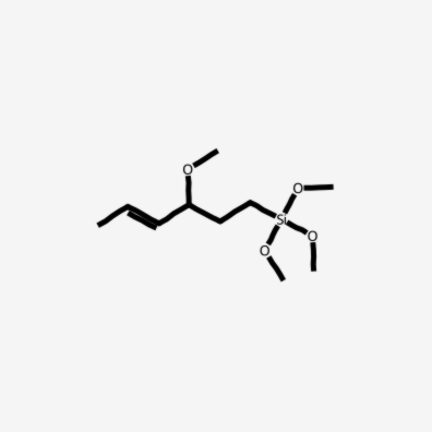 CC=CC(CC[Si](OC)(OC)OC)OC